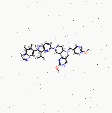 COc1ncc(CN(Cc2cnc(OC)nc2)C2CCN(c3ccc4[nH]c(-c5cn6ncnc6c(C)c5C)c(C(C)C)c4n3)CC2)cn1